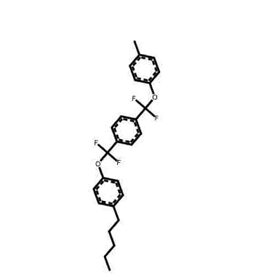 CCCCCc1ccc(OC(F)(F)c2ccc(C(F)(F)Oc3ccc(C)cc3)cc2)cc1